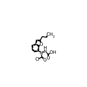 C=CCc1cc2cccc(N(NC(=O)O)C(=O)Cl)c2o1